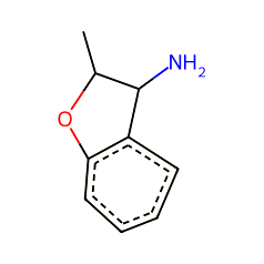 CC1Oc2ccccc2C1N